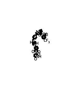 O=C1CCC(N2C(=O)c3ccc(N4C[C@H]5C[C@@H]4CN5CC4CCN(c5cnn(C6(C(=O)Nc7ccc(C(F)(F)F)cc7Cl)CCC6)c5)CC4)cc3C2=O)C(=O)N1